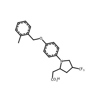 Cc1ccccc1COc1ccc(N2CC(C(F)(F)F)CC2CC(=O)O)cc1